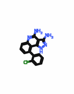 Nc1n[nH]c2c1c(N)nc1cccc(-c3ccccc3Cl)c12